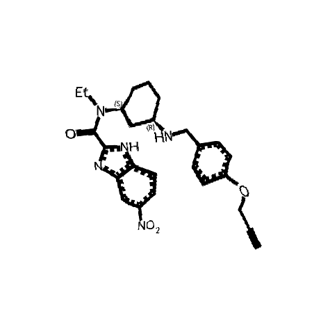 C#CCOc1ccc(CN[C@@H]2CCC[C@H](N(CC)C(=O)c3nc4cc([N+](=O)[O-])ccc4[nH]3)C2)cc1